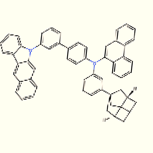 c1cc(-c2ccc(N(c3cccc(C45C[C@@H]6CC7C[C@@H](C4)C76C5)c3)c3cc4ccccc4c4ccccc34)cc2)cc(-n2c3ccccc3c3cc4ccccc4cc32)c1